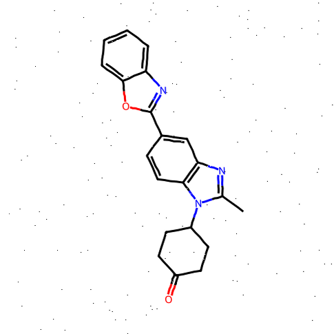 Cc1nc2cc(-c3nc4ccccc4o3)ccc2n1C1CCC(=O)CC1